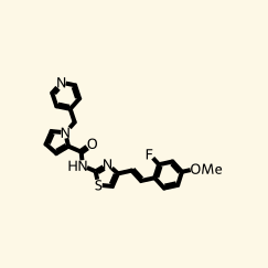 COc1ccc(/C=C/c2csc(NC(=O)c3cccn3Cc3ccncc3)n2)c(F)c1